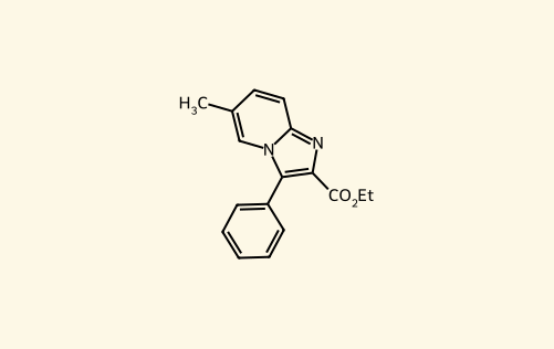 CCOC(=O)c1nc2ccc(C)cn2c1-c1ccccc1